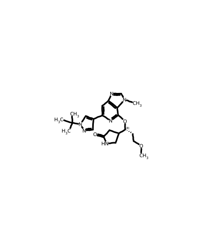 COCC[C@@H](Oc1nc(-c2cnn(C(C)(C)C)c2)cc2ncn(C)c12)C1CNC(=O)C1